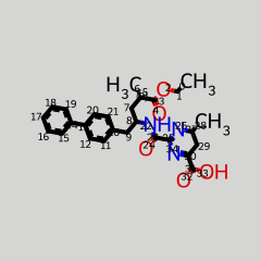 CCOC(=O)[C@H](C)CC(Cc1ccc(-c2ccccc2)cc1)NC(=O)C1=NC(C)CC(C(=O)O)=N1